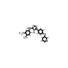 FC(F)(F)c1cc(Nc2nnc(-c3ccc(Oc4cccnc4)cc3)[nH]2)ccc1Cl